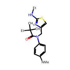 CCNc1nc(CN(C(=O)C(C)(C)CC)c2ccc(NC)cc2)cs1